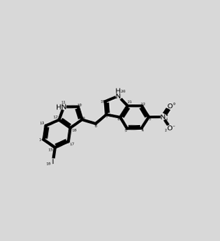 O=[N+]([O-])c1ccc2c(Cc3c[nH]c4ccc(I)cc34)c[nH]c2c1